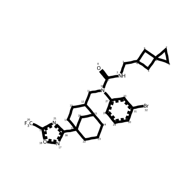 O=C(NCC1CC2(CC2)C1)N(CC1CCC2(c3noc(C(F)(F)F)n3)CCCC1C2)c1cccc(Br)c1